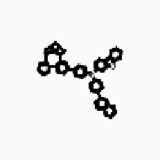 c1ccc2c(c1)-c1ccc(-c3ccc(N(c4ccc(-c5ccc6ccccc6c5)cc4)c4ccc5c(c4)oc4ccccc45)cc3)cc1C1CC3CC4CC2CC431